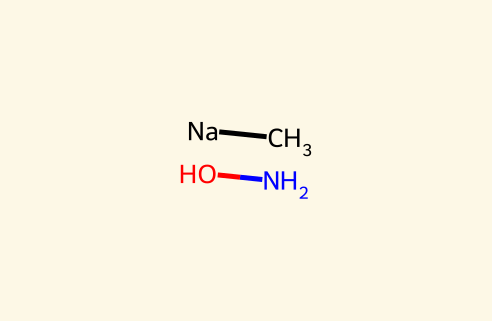 NO.[CH3][Na]